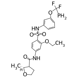 CCOc1cc(NC(=O)C2CCO[C@@H]2C)ccc1S(=O)(=O)Nc1cccc(OC(F)(F)P)c1